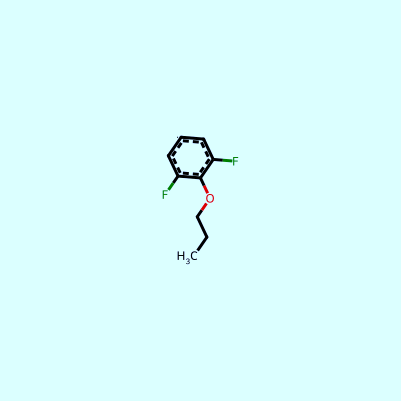 CCCOc1c(F)c[c]cc1F